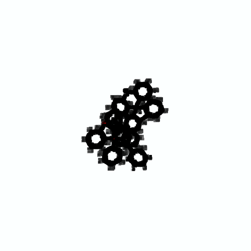 c1ccc(-c2ccc(N(Cc3ccccc3C3(c4ccccc4)c4ccccc4-c4ccccc43)c3ccc4c(c3)C3(c5ccccc5S4)c4ccccc4-c4ccccc43)cc2)cc1